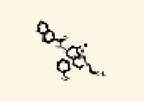 C=CCN1CC[C@@]2(c3cccc(O)c3)C[C@@H](NC(=O)c3ccc4ccccc4c3)CC(O)[C@@H]2C1